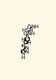 COC(=N)/N=C(\S)NC(=O)N1CC[C@H]2CC(N(C)c3ncnc4[nH]ccc34)C[C@H]2C1